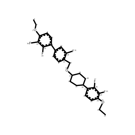 CCOc1ccc(-c2ccc(COC3CCC(c4ccc(OCC)c(F)c4F)CC3)c(F)c2)c(F)c1F